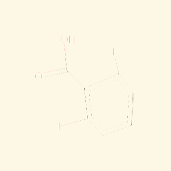 O=C(O)c1c(I)c[c]cc1I